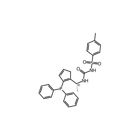 Cc1ccc(S(=O)(=O)NC(=O)N[C@H](C)C2=C(P(c3ccccc3)c3ccccc3)C=CC2)cc1